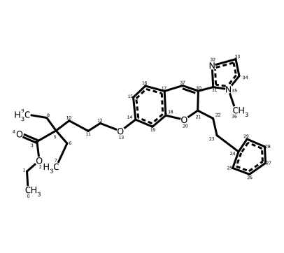 CCOC(=O)C(CC)(CC)CCCOc1ccc2c(c1)OC(CCc1ccccc1)C(c1nccn1C)=C2